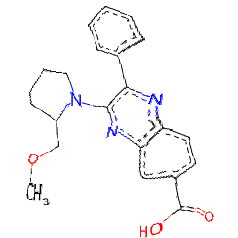 COCC1CCCN1c1nc2cc(C(=O)O)ccc2nc1-c1ccccc1